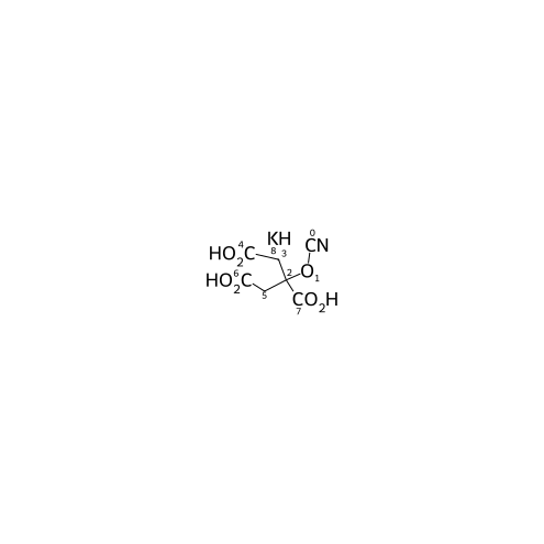 N#COC(CC(=O)O)(CC(=O)O)C(=O)O.[KH]